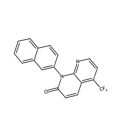 O=c1ccc2c(C(F)(F)F)ccnc2n1-c1ccc2ccccc2c1